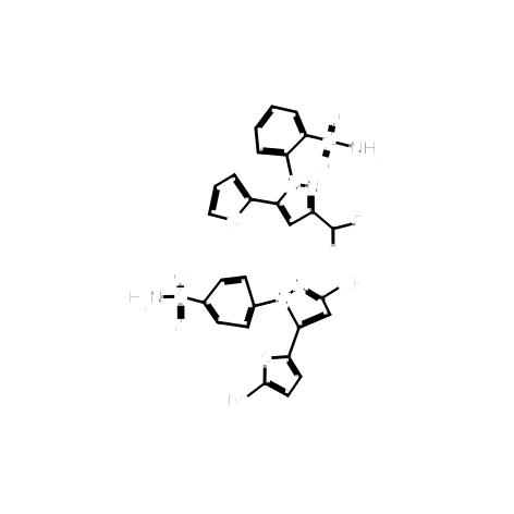 NS(=O)(=O)c1ccc(-n2nc(C(F)(F)F)cc2-c2ccc(Br)s2)cc1.NS(=O)(=O)c1ccccc1-n1nc(C(F)F)cc1-c1cccs1